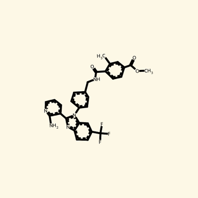 COC(=O)c1ccc(C(=O)NCc2ccc(-n3c(-c4cccnc4N)nc4ccc(C(F)(F)F)cc43)cc2)c(C)c1